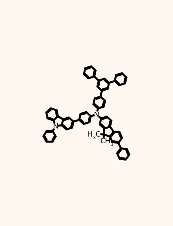 CC1(C)c2cc(-c3ccccc3)ccc2-c2ccc(N(c3ccc(-c4cc(-c5ccccc5)cc(-c5ccccc5)c4)cc3)c3ccc(-c4ccc5c(c4)c4ccccc4n5-c4ccccc4)cc3)cc21